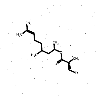 CC/C=C(\C)C(=O)OC(C)CC(C)CCC=C(C)C